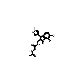 CC(=O)NCC(=O)NCc1[nH]c2c(Cl)c(Cl)ccc2c1-c1cn[nH]c1